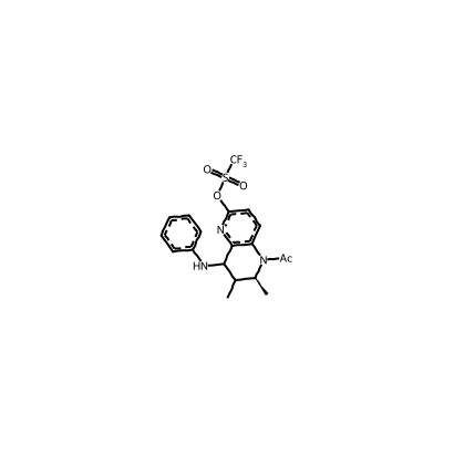 CC(=O)N1c2ccc(OS(=O)(=O)C(F)(F)F)nc2C(Nc2ccccc2)C(C)[C@@H]1C